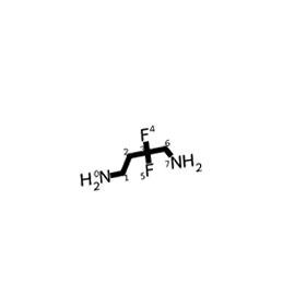 NCCC(F)(F)CN